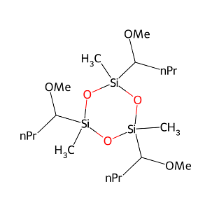 CCCC(OC)[Si]1(C)O[Si](C)(C(CCC)OC)O[Si](C)(C(CCC)OC)O1